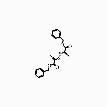 O=C(OCc1ccccc1)C(=S)SSC(=S)C(=O)OCc1ccccc1